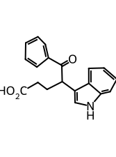 O=C(O)CCC(C(=O)c1ccccc1)c1c[nH]c2ccccc12